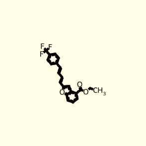 CCOC(=O)c1cccc2oc(C=CC=Cc3ccc(C(F)(F)F)cc3)cc12